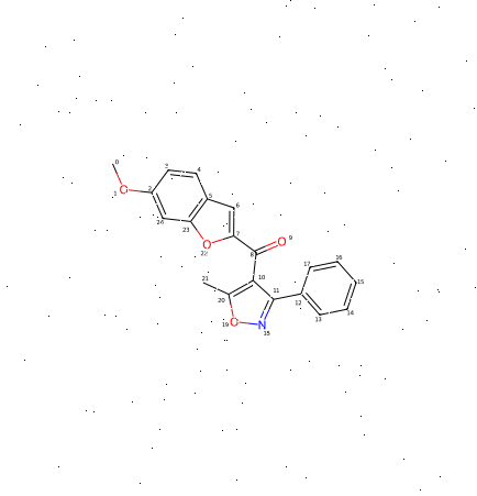 COc1ccc2cc(C(=O)c3c(-c4ccccc4)noc3C)oc2c1